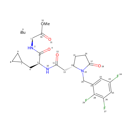 CC[C@H](C)[C@H](NC(=O)[C@H](CC1CC1)NC(=O)C[C@@H]1CCC(=O)N1Cc1cc(F)cc(F)c1F)C(=O)OC